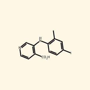 Cc1cc(I)ccc1Nc1cnccc1C(=O)O